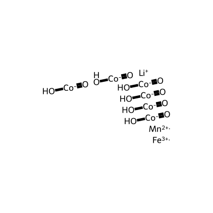 [Fe+3].[Li+].[Mn+2].[O]=[Co-][OH].[O]=[Co-][OH].[O]=[Co-][OH].[O]=[Co-][OH].[O]=[Co-][OH].[O]=[Co-][OH]